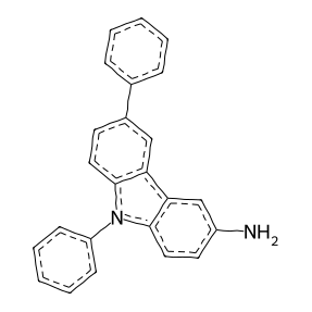 Nc1ccc2c(c1)c1cc(-c3ccccc3)ccc1n2-c1ccccc1